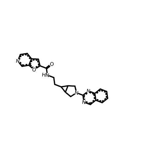 O=C(NCCC1C2CN(c3ncc4ccccc4n3)CC12)c1cc2ccncc2o1